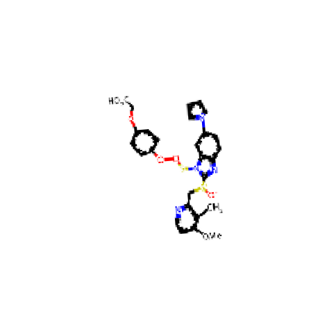 COc1ccnc(C[S+]([O-])c2nc3ccc(-n4cccc4)cc3n2SOOc2ccc(OCC(=O)O)cc2)c1C